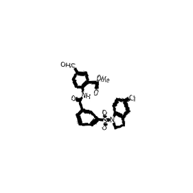 COC(=O)c1cc(C=O)ccc1NC(=O)c1cccc(S(=O)(=O)N2CCc3cc(Cl)ccc32)c1